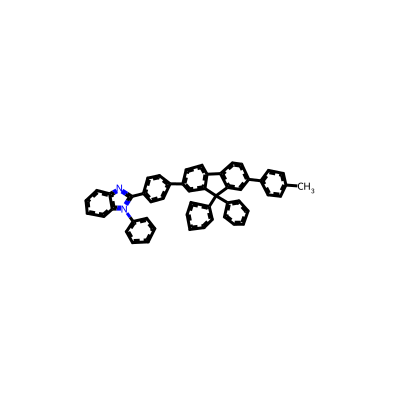 Cc1ccc(-c2ccc3c(c2)C(c2ccccc2)(c2ccccc2)c2cc(-c4ccc(-c5nc6ccccc6n5-c5ccccc5)cc4)ccc2-3)cc1